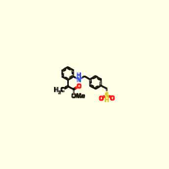 C=C(C(=O)OC)c1ccccc1NCc1ccc(C[SH](=O)=O)cc1